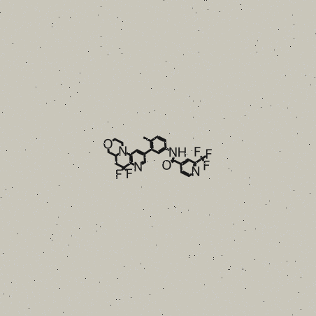 Cc1ccc(NC(=O)c2ccnc(C(F)(F)F)c2)cc1-c1cnc2c(c1)N1CCOCC1CC2(F)F